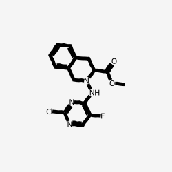 COC(=O)C1Cc2ccccc2CN1Nc1nc(Cl)ncc1F